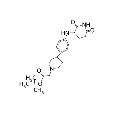 CC(C)(C)OC(=O)CN1CCC(c2ccc(NC3CCC(=O)NC3=O)cc2)CC1